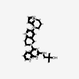 CC(C)(O)CNc1nc(N2CCc3ncc(N4CCCn5nccc54)cc3C2)c2cccnc2n1